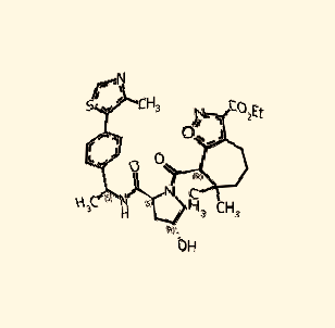 CCOC(=O)c1noc2c1CCCC(C)(C)[C@H]2C(=O)N1C[C@H](O)C[C@H]1C(=O)N[C@@H](C)c1ccc(-c2scnc2C)cc1